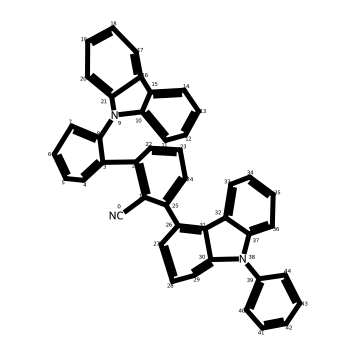 N#Cc1c(-c2ccccc2-n2c3ccccc3c3ccccc32)cccc1-c1cccc2c1c1ccccc1n2-c1ccccc1